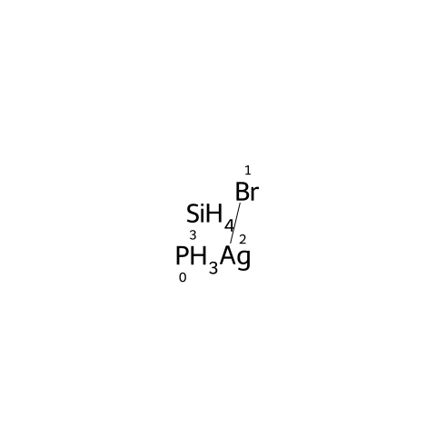 P.[Br][Ag].[SiH4]